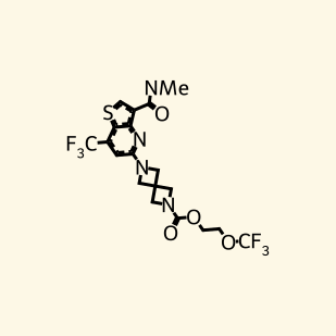 CNC(=O)c1csc2c(C(F)(F)F)cc(N3CC4(CN(C(=O)OCCOC(F)(F)F)C4)C3)nc12